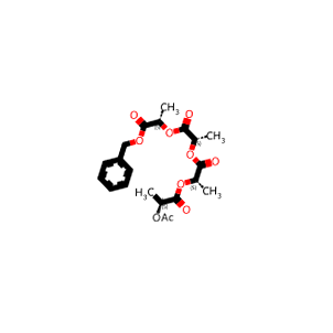 CC(=O)O[C@@H](C)C(=O)O[C@@H](C)C(=O)O[C@@H](C)C(=O)O[C@@H](C)C(=O)OCc1ccccc1